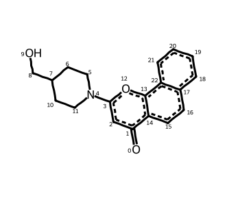 O=c1cc(N2CCC(CO)CC2)oc2c1ccc1ccccc12